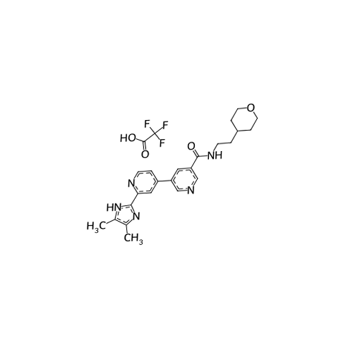 Cc1nc(-c2cc(-c3cncc(C(=O)NCCC4CCOCC4)c3)ccn2)[nH]c1C.O=C(O)C(F)(F)F